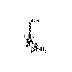 C#C[C@]1(CO)O[C@@H](n2cnc3c(N)nc(F)nc32)C[C@@H]1OC(=O)NCCCCCCCCCCCCCCCCCC